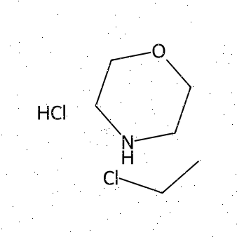 C1COCCN1.CCCl.Cl